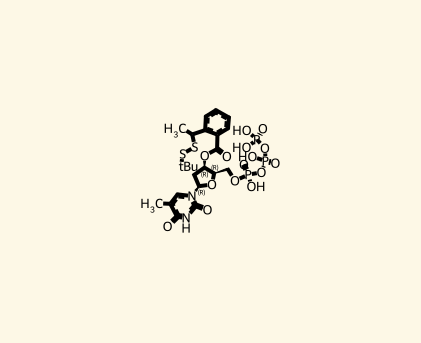 Cc1cn([C@H]2C[C@@H](OC(=O)c3ccccc3C(C)SSC(C)(C)C)[C@@H](COP(=O)(O)OP(=O)(O)OP(=O)(O)O)O2)c(=O)[nH]c1=O